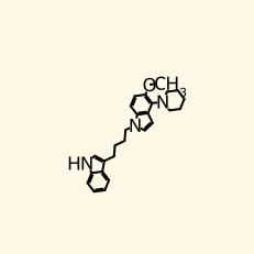 COc1ccc2c(ccn2CCCCc2c[nH]c3ccccc23)c1N1CCCCC1